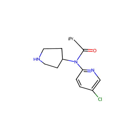 CC(C)C(=O)N(c1ccc(Cl)cn1)C1CCNCC1